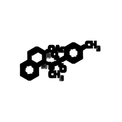 CC(=O)O[C@@H]1C=Cc2ccccc2[C@H]1N(C)S(=O)(=O)c1ccc(C)cc1